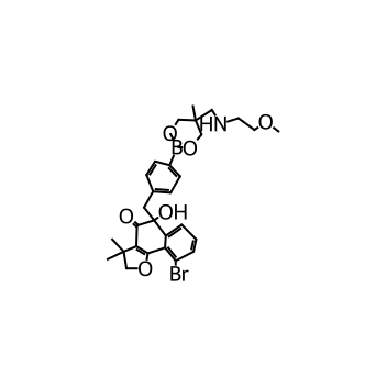 COCCNCC1(C)COB(c2ccc(CC3(O)C(=O)C4=C(OCC4(C)C)c4c(Br)cccc43)cc2)OC1